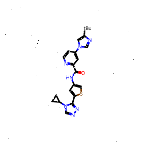 CC(C)(C)c1cn(-c2ccnc(C(=O)Nc3csc(-c4nncn4C4CC4)c3)c2)cn1